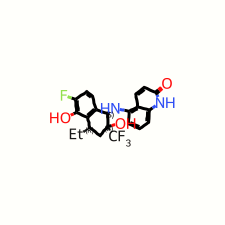 CC[C@@H]1C[C@](O)(C(F)(F)F)[C@@H](Nc2cccc3[nH]c(=O)ccc23)c2ccc(F)c(O)c21